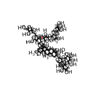 CC1O[C@@H](OC2C(O)[C@@H](NC(=O)CCC3(O)CO[C@@H](CO)C3O)C(CO)O[C@H]2OC(=O)[C@]23CCC(C)(C)CC2C2=CCC4C5(C)CC[C@H](O[C@@H]6OC[C@@H](O)[C@H](O[C@@H]7OC[C@@H](O)[C@H](O)C7O)C6O[C@@H]6OC(CO)[C@H](O)[C@H](O)C6O)[C@](C)(C=O)[C@@H]5CC[C@]4(C)[C@]2(C)CC3O)C(O)C(O)[C@H]1O[C@@H]1OC[C@@H](O)C(O[C@@H]2OC[C@@](O)(CO)C2O)C1O